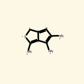 CCCC1=C(CCC)C2=C(CCC)S[CH]C2=C1